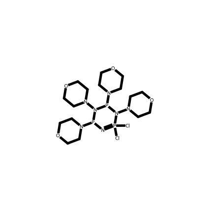 ClP1(Cl)=NP(N2CCOCC2)N(N2CCOCC2)P(N2CCOCC2)N1N1CCOCC1